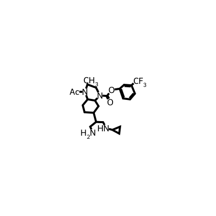 CC(=O)N1C2CCC(C(CN)CNC3CC3)CC2N(C(=O)Oc2cccc(C(F)(F)F)c2)C[C@@H]1C